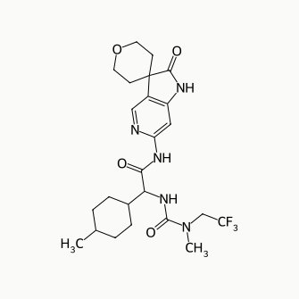 CC1CCC(C(NC(=O)N(C)CC(F)(F)F)C(=O)Nc2cc3c(cn2)C2(CCOCC2)C(=O)N3)CC1